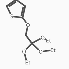 CCOC(COc1cccs1)(OCC)OCC